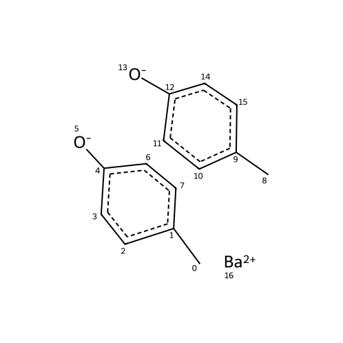 Cc1ccc([O-])cc1.Cc1ccc([O-])cc1.[Ba+2]